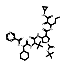 CCCC(NC(=O)C1CN(C(=O)OC(C)(C)C)CC1NC(=O)C(NC(=O)[C@@H](NC(=O)c1cnccn1)C1CCCCC1)C(C)(C)C)C(=O)C(=O)NC1CC1